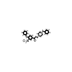 O=C(CCN1CCN(Cc2ccccc2)CC1)c1ccc(Sc2ccccc2)c([N+](=O)[O-])c1